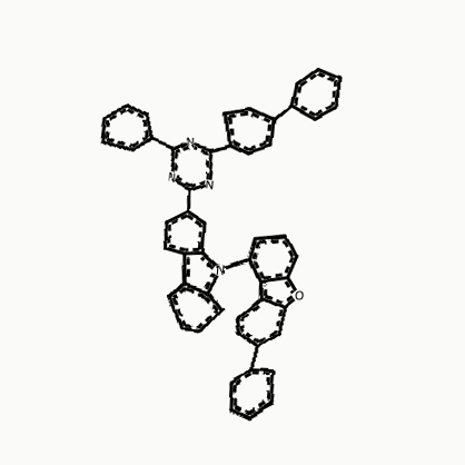 c1ccc(-c2ccc(-c3nc(-c4ccccc4)nc(-c4ccc5c6ccccc6n(-c6cccc7oc8cc(-c9ccccc9)ccc8c67)c5c4)n3)cc2)cc1